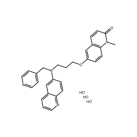 Cl.Cl.Cl.Cn1c(=O)ccc2cc(OCCCN(Cc3ccncc3)c3ccc4ncccc4c3)ccc21